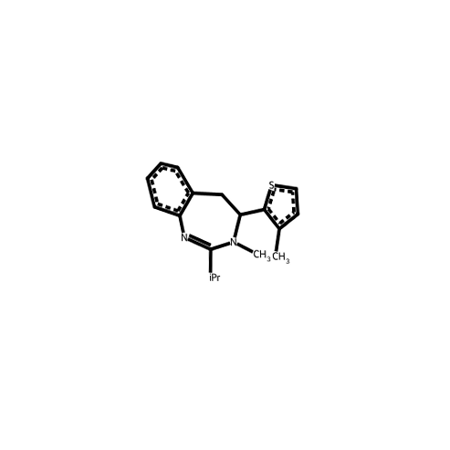 Cc1ccsc1C1Cc2ccccc2N=C(C(C)C)N1C